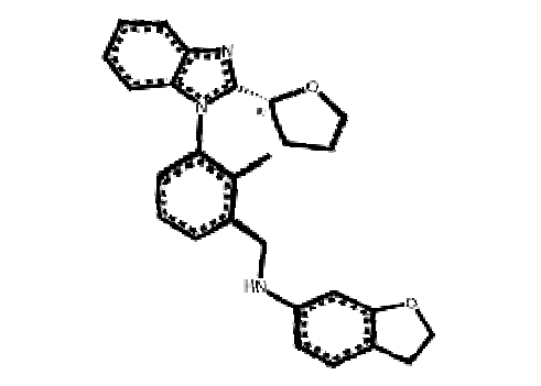 Cc1c(CNc2ccc3c(c2)OC[C]3)cccc1-n1c([C@H]2CCCO2)nc2ccccc21